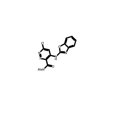 CNC(=O)c1nnc(Cl)cc1Nc1nc2ccccc2o1